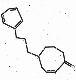 O=C1/C=C\CC(CCCc2ccccc2)CCC1